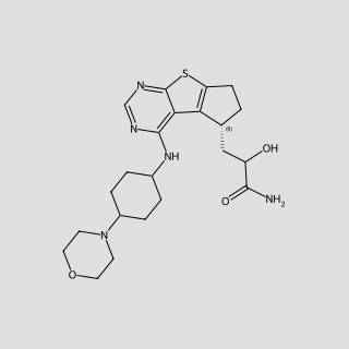 NC(=O)C(O)C[C@H]1CCc2sc3ncnc(NC4CCC(N5CCOCC5)CC4)c3c21